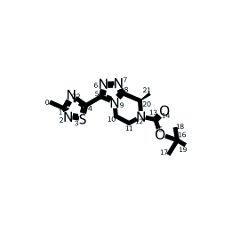 Cc1nsc(-c2nnc3n2CCN(C(=O)OC(C)(C)C)[C@@H]3C)n1